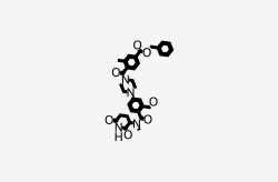 Cc1cc(C(=O)OCc2ccccc2)ccc1C(=O)N1CCN(c2ccc(C(=O)N(C)C3CCC(=O)NC3=O)c(C=O)c2)CC1